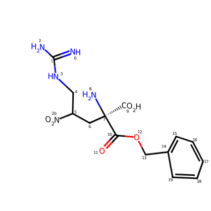 N=C(N)NCC(C[C@](N)(C(=O)O)C(=O)OCc1ccccc1)[N+](=O)[O-]